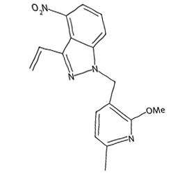 C=Cc1nn(Cc2ccc(C)nc2OC)c2cccc([N+](=O)[O-])c12